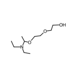 CCN(CC)C(C)OCCOCCO